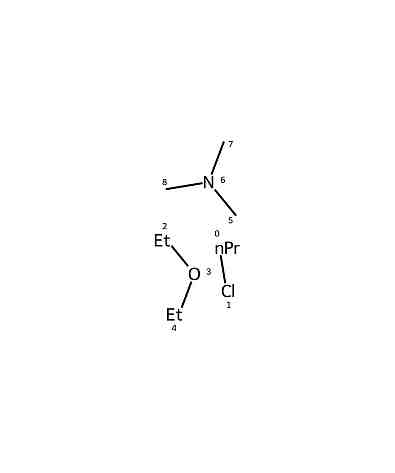 CCCCl.CCOCC.CN(C)C